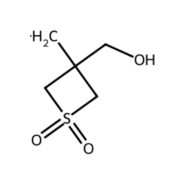 [CH2]C1(CO)CS(=O)(=O)C1